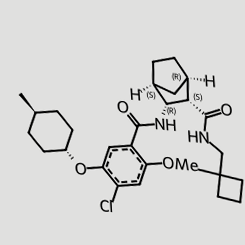 COc1cc(Cl)c(O[C@H]2CC[C@H](C)CC2)cc1C(=O)N[C@@H]1[C@H]2CC[C@H](C2)[C@@H]1C(=O)NCC1(C)CCC1